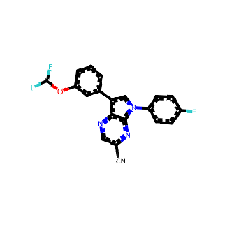 N#Cc1cnc2c(-c3cccc(OC(F)F)c3)cn(-c3ccc(F)cc3)c2n1